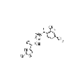 CC(c1ccc(C(F)(F)F)cc1C(F)(F)F)n1cc(NC(=O)c2csc(Br)n2)cn1